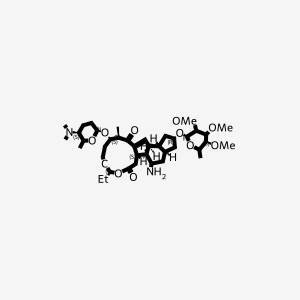 CC[C@H]1CCC[C@H](O[C@H]2CC[C@H](N(C)C)C(C)O2)[C@@H](C)C(=O)C2=C[C@H]3[C@@H]4C[C@H](O[C@@H]5OC(C)[C@H](OC)C(OC)C5OC)C[C@H]4CC(N)[C@H]3[C@@H]2CC(=O)O1